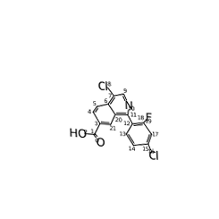 O=C(O)c1ccc2c(Cl)cnc(-c3ccc(Cl)cc3F)c2c1